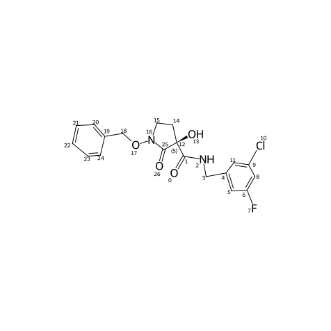 O=C(NCc1cc(F)cc(Cl)c1)[C@@]1(O)CCN(OCc2ccccc2)C1=O